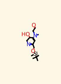 CN(CC=O)C1=CC(CO[Si](C)(C)C(C)(C)C)=NCC1O